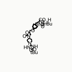 CCCCS(=O)(=O)NC(Cc1ccc(OCC2CN(C3CCN(C(=N)NC(=O)OC(C)(C)C)CC3)C(=O)O2)cc1)C(=O)O